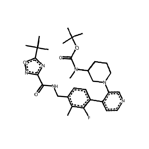 Cc1c(CNC(=O)c2noc(C(C)(C)C)n2)ccc(-c2ccncc2N2CCCC(N(C)C(=O)OC(C)(C)C)C2)c1F